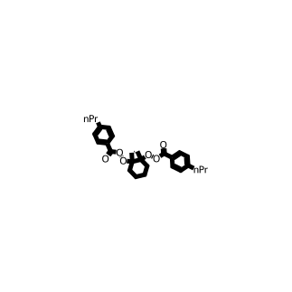 [CH2]C1(OOC(=O)c2ccc(CCC)cc2)CCCCC1([CH2])OOC(=O)c1ccc(CCC)cc1